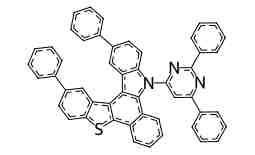 c1ccc(-c2ccc3sc4c5ccccc5c5c(c6cc(-c7ccccc7)ccc6n5-c5cc(-c6ccccc6)nc(-c6ccccc6)n5)c4c3c2)cc1